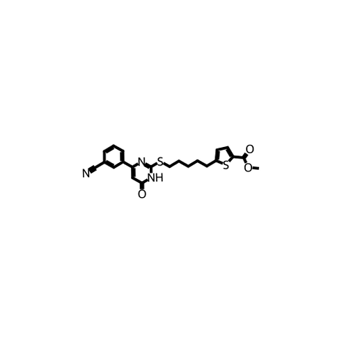 COC(=O)c1ccc(CCCCCSc2nc(-c3cccc(C#N)c3)cc(=O)[nH]2)s1